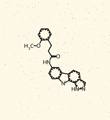 COc1ccccc1CCC(=O)Nc1ccc2c(c1)-c1ccc3cn[nH]c3c1[N]2